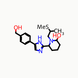 CSC(C)CN1C(O)CCCC1c1ncc(-c2ccc(CO)cc2)[nH]1